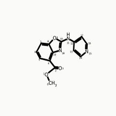 COC(=O)c1cccc2oc(Nc3ccncc3)nc12